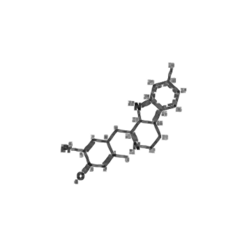 CC1=CC(=O)C(C(C)C)=CC1CC1=NCCC2=c3ccc(C)cc3=NC12